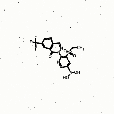 CCS(=O)(=O)c1cc(B(O)O)cnc1-n1ncc2ccc(C(F)(F)F)cc2c1=O